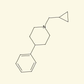 c1ccc(C2CCN(CC3CC3)CC2)cc1